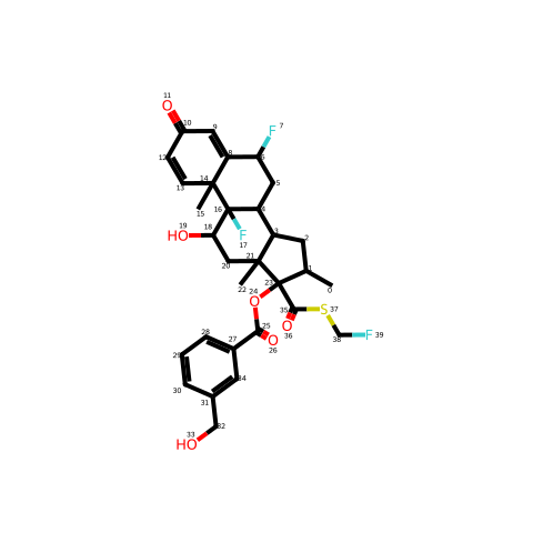 CC1CC2C3CC(F)C4=CC(=O)C=CC4(C)C3(F)C(O)CC2(C)C1(OC(=O)c1cccc(CO)c1)C(=O)SCF